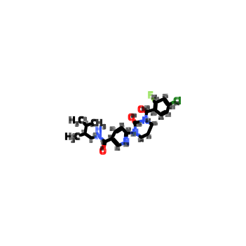 CC(C)C(C)CNC(=O)c1ccc(N2CCCN(C(=O)c3ccc(Cl)cc3F)C2=O)nc1